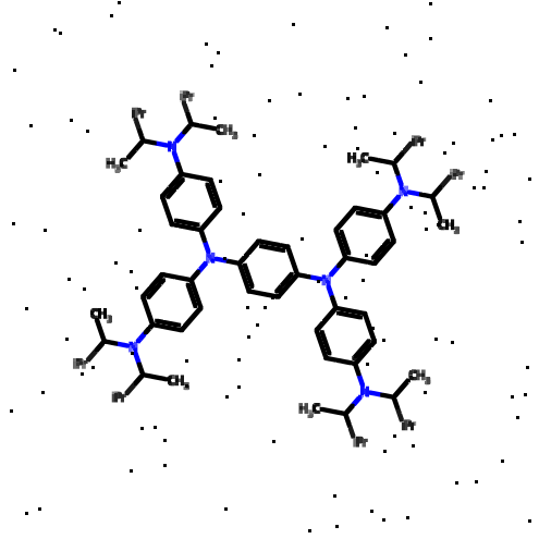 CC(C)C(C)N(c1ccc(N(c2ccc(N(c3ccc(N(C(C)C(C)C)C(C)C(C)C)cc3)c3ccc(N(C(C)C(C)C)C(C)C(C)C)cc3)cc2)c2ccc(N(C(C)C(C)C)C(C)C(C)C)cc2)cc1)C(C)C(C)C